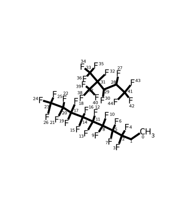 CCC(F)(F)C(F)(F)C(F)(F)C(F)(F)C(F)(F)C(F)(F)C(F)(F)C(F)(F)F.FC(C(F)C(F)(C(F)(F)F)C(F)(F)F)C(F)(F)F